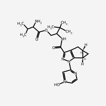 CC(C)C(N)C(=O)OCC(NC(=O)c1nn(-c2c[n+](O)ccn2)c2c1C[C@@H]1C[C@H]21)C(C)(C)C